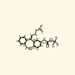 CN(C)CC/C=C1/c2ccccc2COc2ccc(CC(=O)OC(C)(C)C)cc21